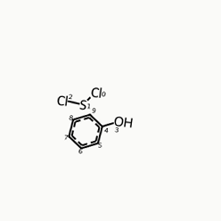 ClSCl.Oc1ccccc1